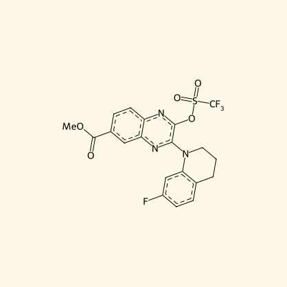 COC(=O)c1ccc2nc(OS(=O)(=O)C(F)(F)F)c(N3CCCc4ccc(F)cc43)nc2c1